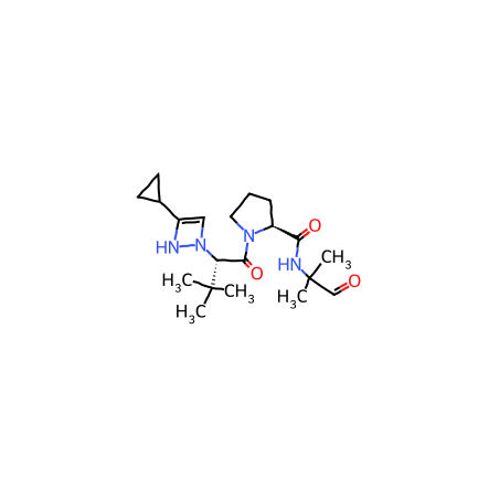 CC(C)(C=O)NC(=O)[C@@H]1CCCN1C(=O)[C@@H](n1cc(C2CC2)[nH]1)C(C)(C)C